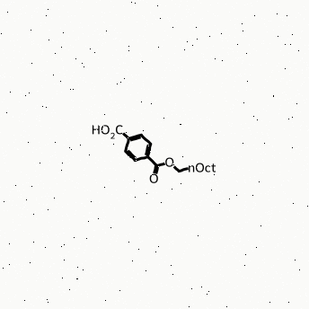 CCCCCCCCCOC(=O)c1ccc(C(=O)O)cc1